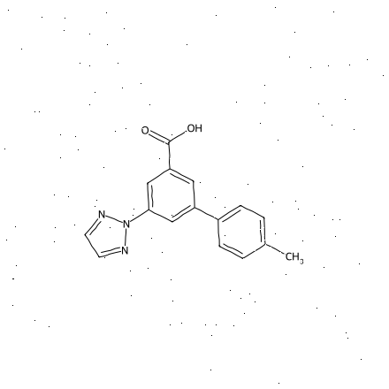 Cc1ccc(-c2cc(C(=O)O)cc(-n3nccn3)c2)cc1